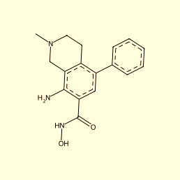 CN1CCc2c(-c3ccccc3)cc(C(=O)NO)c(N)c2C1